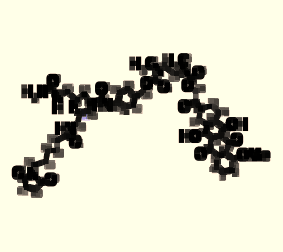 COc1cccc2c1C(=O)c1c(O)c3c(c(O)c1C2=O)C[C@@H](C(=O)COC(=O)N(C)CCN(C)C(=O)OCc1ccc(NC(=O)[C@@H](/C=C(\F)CNC(=O)CCCCCN2C(=O)C=CC2=O)CCCNC(N)=O)cc1)CC3